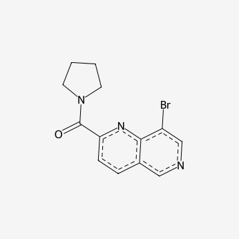 O=C(c1ccc2cncc(Br)c2n1)N1CCCC1